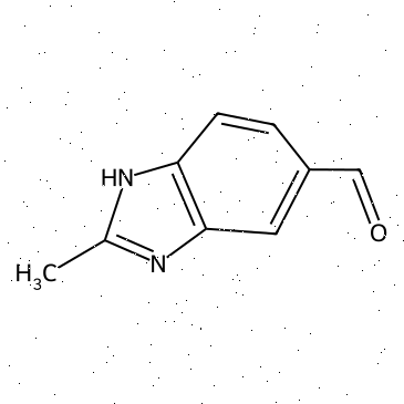 Cc1nc2cc(C=O)ccc2[nH]1